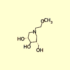 COCCN1C[C@H](CO)[C@@H](O)[C@H](O)C1